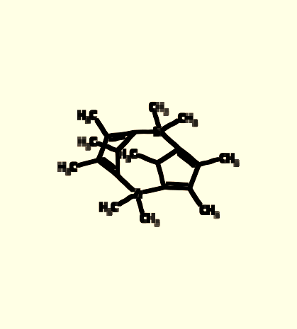 CC1=C2C(C)[C](=C1C)[Zr]([CH3])([CH3])[C]1=C(C)C(C)=C(C1C)[Si]2(C)C